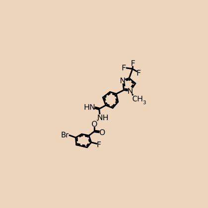 Cn1cc(C(F)(F)F)nc1-c1ccc(C(=N)NOC(=O)c2cc(Br)ccc2F)cc1